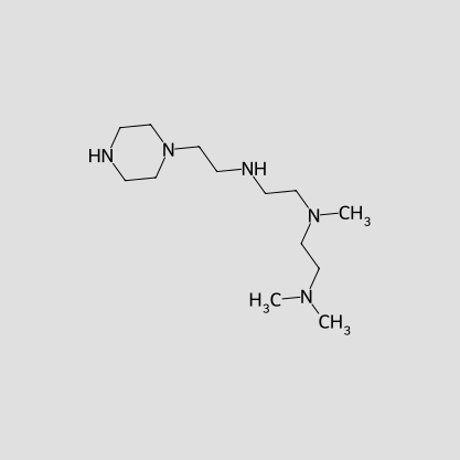 CN(C)CCN(C)CCNCCN1CCNCC1